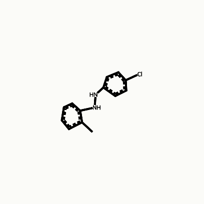 Cc1ccccc1NNc1ccc(Cl)cc1